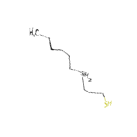 CCCCC[SiH2]CCS